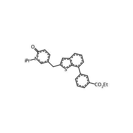 CCOC(=O)c1cccc(-c2cccc3cc(Cc4ccc(=O)n(C(C)C)c4)sc23)c1